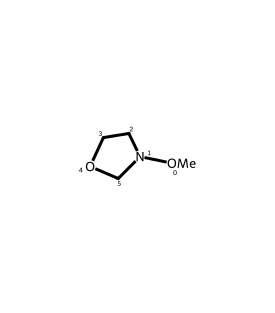 CON1CCOC1